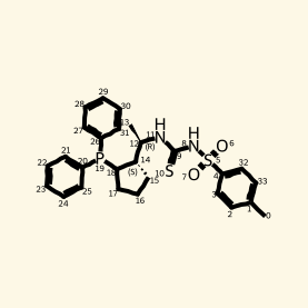 Cc1ccc(S(=O)(=O)NC(=S)N[C@H](C)[C@@H]2CCCC2P(c2ccccc2)c2ccccc2)cc1